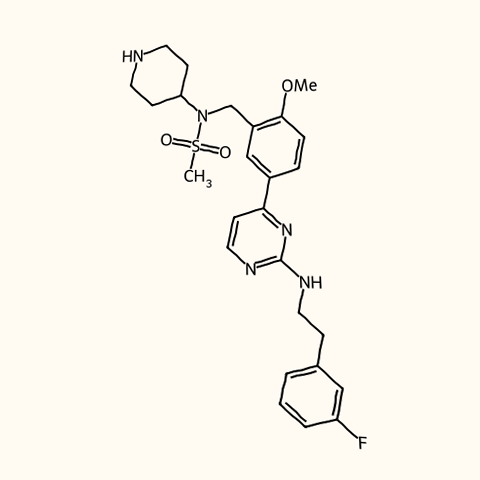 COc1ccc(-c2ccnc(NCCc3cccc(F)c3)n2)cc1CN(C1CCNCC1)S(C)(=O)=O